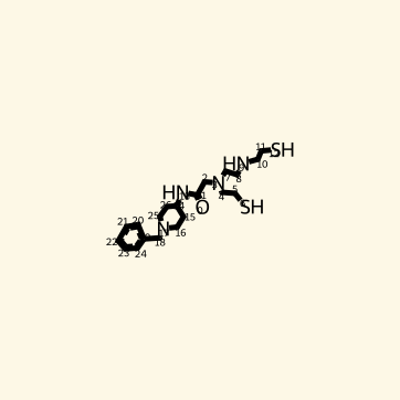 O=C(CN(CCS)CCNCCS)NC1CCN(Cc2ccccc2)CC1